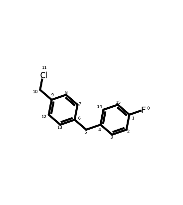 Fc1ccc(Cc2ccc(CCl)cc2)cc1